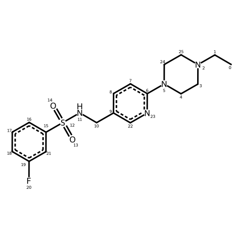 CCN1CCN(c2ccc(CNS(=O)(=O)c3cccc(F)c3)cn2)CC1